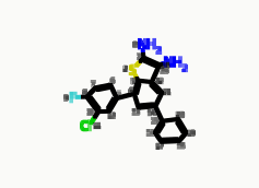 Nc1sc2c(-c3ccc(F)c(Cl)c3)cc(-c3ccccc3)cc2c1N